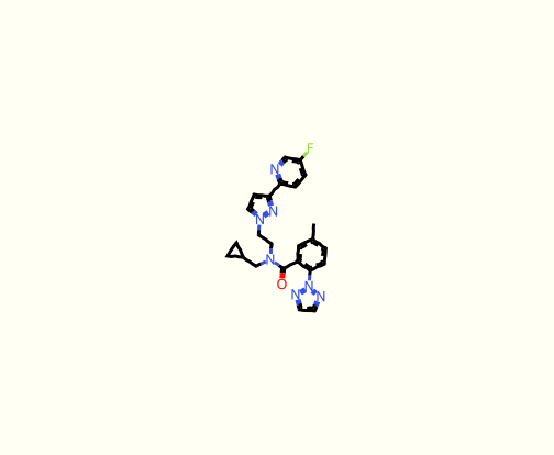 Cc1ccc(-n2nccn2)c(C(=O)N(CCn2ccc(-c3ccc(F)cn3)n2)CC2CC2)c1